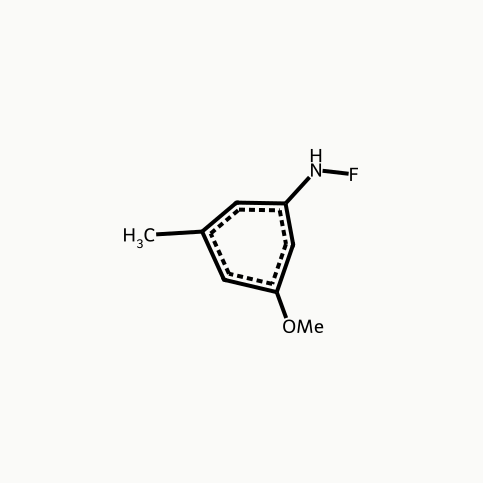 COc1cc(C)cc(NF)c1